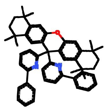 CC1(C)CCC(C)(C)c2cc3c(cc21)Oc1cc2c(cc1C3(c1cccc(-c3ccccc3)n1)c1cccc(-c3ccccc3)n1)C(C)(C)CCC2(C)C